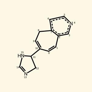 C1=Cc2cnccc2CC=C1C1CN=CN1